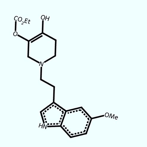 CCOC(=O)OC1=C(O)CCN(CCc2c[nH]c3ccc(OC)cc23)C1